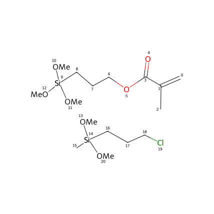 C=C(C)C(=O)OCCC[Si](OC)(OC)OC.CO[Si](C)(CCCCl)OC